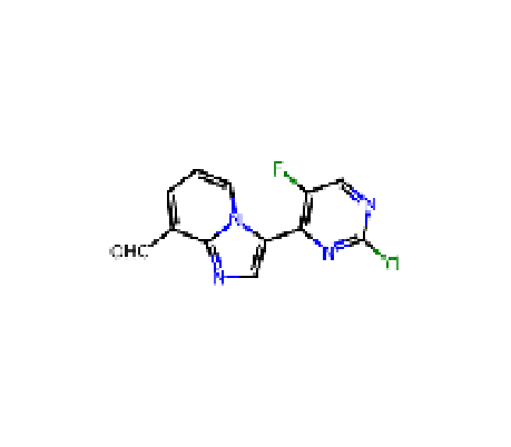 O=Cc1cccn2c(-c3nc(Cl)ncc3F)cnc12